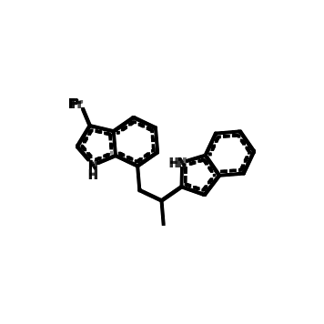 CC(C)c1c[nH]c2c(CC(C)c3cc4ccccc4[nH]3)cccc12